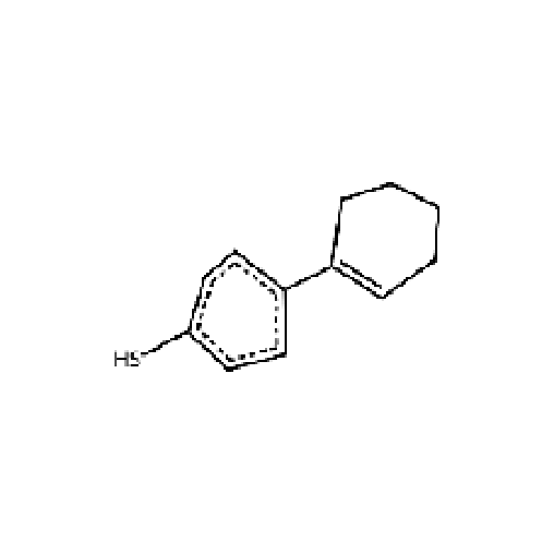 Sc1ccc(C2=CCCCC2)cc1